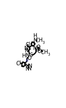 CCOC(=O)[C@@H]1CCCCC(NC(=O)/C=C/c2cc(Cl)ccc2-n2cnnn2)c2cc(c(Cl)nn2)-c2ccc(NC)cc2N1